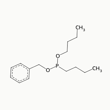 CCCCOP(CCCC)OCc1ccccc1